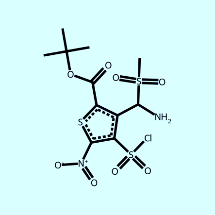 CC(C)(C)OC(=O)c1sc([N+](=O)[O-])c(S(=O)(=O)Cl)c1C(N)S(C)(=O)=O